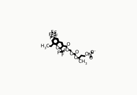 CCc1cc(S(F)(F)(F)(F)F)cc2c1O[C@H](C(F)(F)F)C(C(=O)OCOC(=O)O[C@@H](C)CCO[N+](=O)[O-])=C2